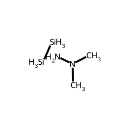 CN(C)N.[SiH3][SiH3]